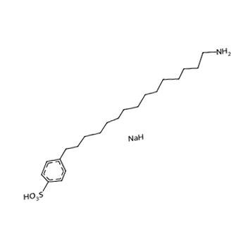 NCCCCCCCCCCCCCCCc1ccc(S(=O)(=O)O)cc1.[NaH]